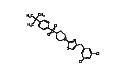 CC(C)(C)c1ccc(S(=O)(=O)C2CCN(c3nc(Cc4cc(Cl)cc(Cl)c4)cs3)CC2)cc1